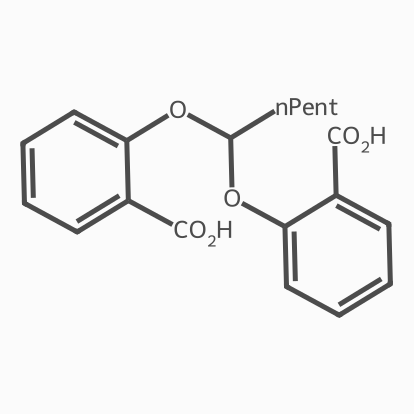 CCCCCC(Oc1ccccc1C(=O)O)Oc1ccccc1C(=O)O